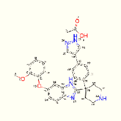 CC(=O)O.COc1ccccc1Oc1ccc2nc(C3(c4ccc(-c5cn[nH]c5)cc4)CCNCC3)[nH]c2c1